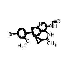 COc1cc(Br)ccc1-c1ccc2c(N[C@H](C)C3CC3)c(NC=O)cnc2c1